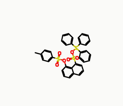 Cc1ccc(S(=O)(=O)Oc2cccc3cccc(S(=O)(=O)OS(c4ccccc4)(c4ccccc4)c4ccccc4)c23)cc1